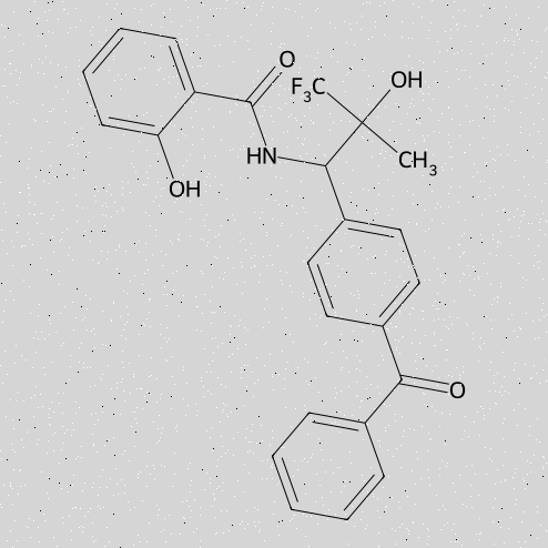 CC(O)(C(NC(=O)c1ccccc1O)c1ccc(C(=O)c2ccccc2)cc1)C(F)(F)F